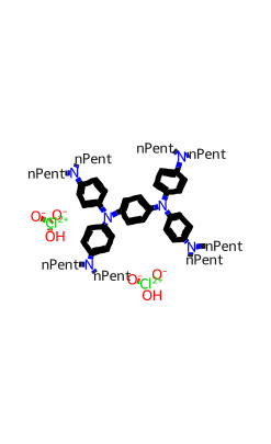 CCCCCN(CCCCC)c1ccc(N(c2ccc(N(CCCCC)CCCCC)cc2)c2ccc(N(c3ccc(N(CCCCC)CCCCC)cc3)c3ccc(N(CCCCC)CCCCC)cc3)cc2)cc1.[O-][Cl+2]([O-])O.[O-][Cl+2]([O-])O